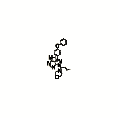 CC=CC(N1CCOCC1)n1nc(-c2ccc(Oc3ccccc3)cc2)c2c(N)ncnc21